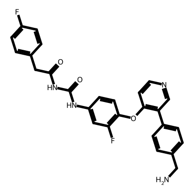 NCc1ccc(-c2cnccc2Oc2ccc(NC(=O)NC(=O)Cc3ccc(F)cc3)cc2F)cc1